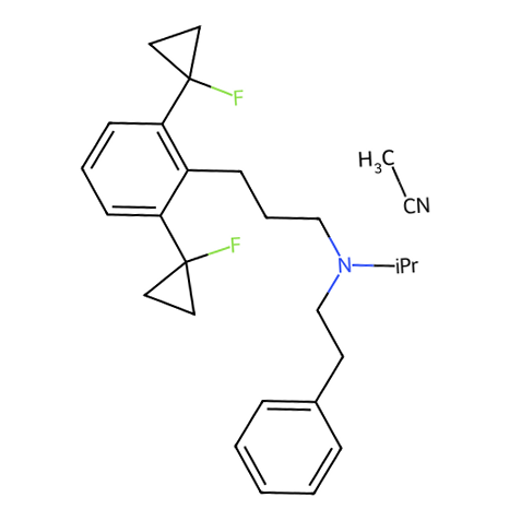 CC#N.CC(C)N(CCCc1c(C2(F)CC2)cccc1C1(F)CC1)CCc1ccccc1